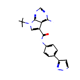 CC(C)(C)n1cc(C(=O)Nc2ccc(-c3cc[nH]n3)cc2)c2c(N)ncnc21